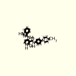 CN1CCN(c2ccc(NC(=O)c3c(Nc4n[nH]c5ccccc45)cc[nH]c3=O)cc2)CC1